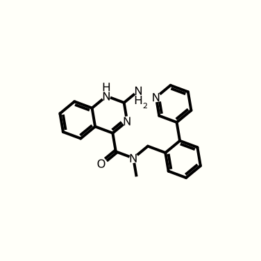 CN(Cc1ccccc1-c1cccnc1)C(=O)C1=NC(N)Nc2ccccc21